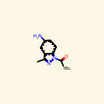 Cc1nn(C(=O)C(C)(C)C)c2ccc(N)cc12